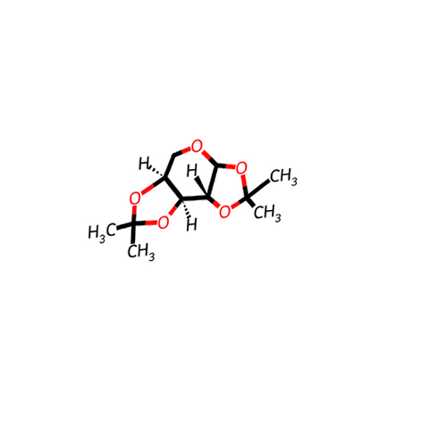 CC1(C)O[C@H]2[C@H](COC3OC(C)(C)O[C@@H]32)O1